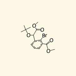 COC(=O)c1cccc(C(OC(C)(C)C)C(=O)OC)c1Br